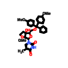 COc1ccc(C(OC[C@H]2O[C@@H](n3cc(C)c(=O)[nH]c3=O)[C@@]3(OC)OCCC23O)(c2ccccc2)c2ccc(OC)cc2)cc1